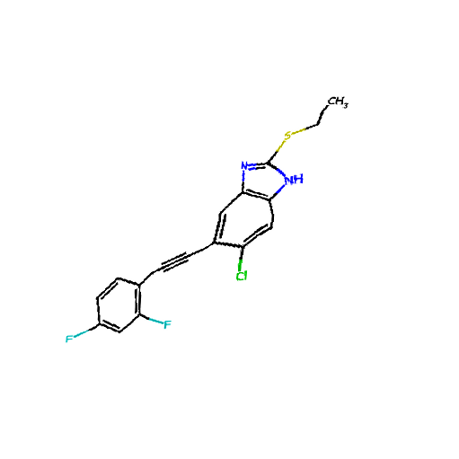 CCSc1nc2cc(C#Cc3ccc(F)cc3F)c(Cl)cc2[nH]1